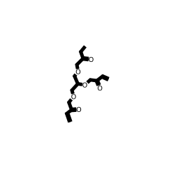 C=CC(=O)COCC(COCC(=O)CC)OCC(=O)C=C